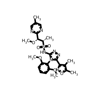 COc1cccc(OC)c1-n1c(NS(=O)(=O)[C@@H](C)[C@H](OC)c2ncc(C)cn2)nnc1-c1noc(C)c1C